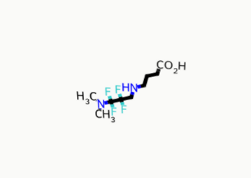 CN(C)C(F)(F)C(F)(F)CNCCCC(=O)O